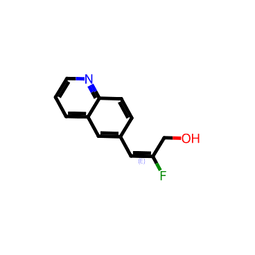 OC/C(F)=C\c1ccc2ncccc2c1